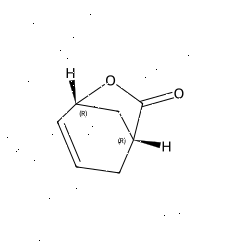 O=C1O[C@H]2C=CC[C@@H]1C2